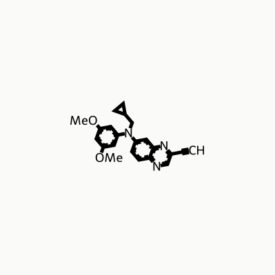 C#Cc1cnc2ccc(N(CC3CC3)c3cc(OC)cc(OC)c3)cc2n1